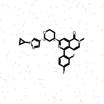 Cn1ccc2c(-c3ccc(F)cc3F)nc([C@@H]3CCO[C@@H](c4cnn(C5CC5)c4)C3)cc2c1=O